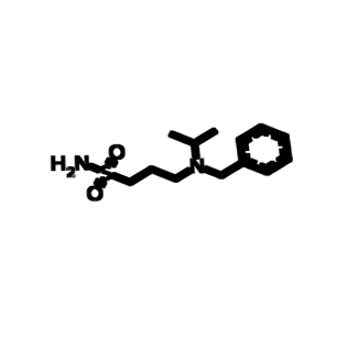 CC(C)N(CCCS(N)(=O)=O)Cc1ccccc1